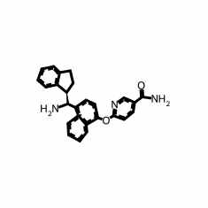 NC(=O)c1ccc(Oc2ccc(C(N)[C@@H]3CCc4ccccc43)c3ccccc23)nc1